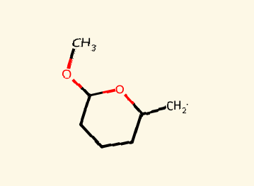 [CH2]C1CCCC(OC)O1